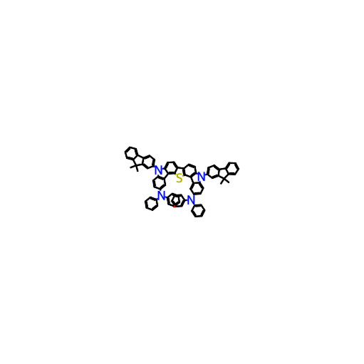 CC1(C)c2ccccc2-c2ccc(-n3c4ccc(N(c5ccccc5)c5ccccc5)cc4c4c5sc6c(ccc7c6c6cc(N(c8ccccc8)c8ccccc8)ccc6n7-c6ccc7c(c6)C(C)(C)c6ccccc6-7)c5ccc43)cc21